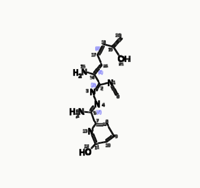 C=NC(=N\N=C(/N)c1cccc(O)n1)/C(N)=C/C=C\C(=C)O